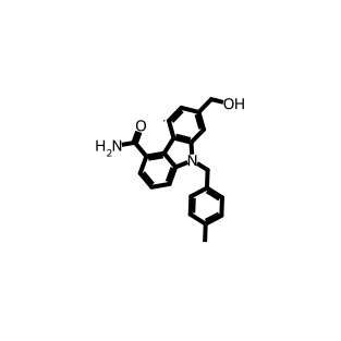 Cc1ccc(Cn2c3cc(CO)c[c]c3c3c(C(N)=O)cccc32)cc1